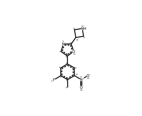 Cc1c(F)cc(-c2cnc(C3CNC3)o2)cc1[N+](=O)[O-]